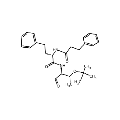 C[C@@H](OC(C)(C)C)[C@@H](C=O)NC(=O)[C@H](CCc1ccccc1)NC(=O)CCc1ccccc1